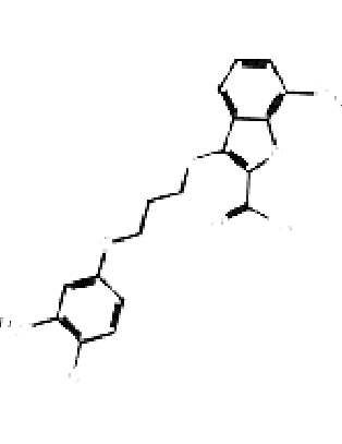 Cc1cc(OCCCOc2c(C(=O)O)oc3c(C)cccc23)ccc1Cl